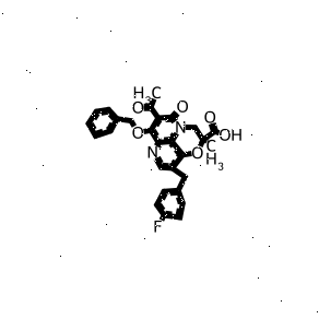 CC(=O)c1c(OCc2ccccc2)c2ncc(Cc3ccc(F)cc3)c3c2n(c1=O)C[C@](C)(C(=O)O)O3